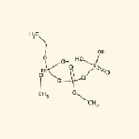 CCO[PH](O)(OC)OP(=O)(OC)OP(=O)(O)O